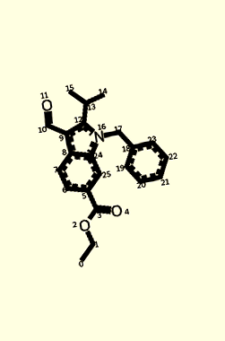 CCOC(=O)c1ccc2c(C=O)c(C(C)C)n(Cc3ccccc3)c2c1